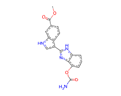 COC(=O)c1ccc2c(-c3nc4c(OC(N)=O)cccc4[nH]3)c[nH]c2c1